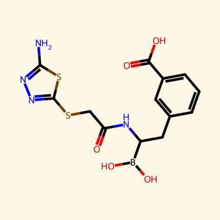 Nc1nnc(SCC(=O)NC(Cc2cccc(C(=O)O)c2)B(O)O)s1